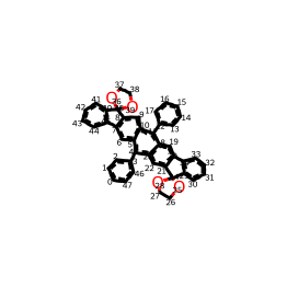 c1ccc(-c2c3cc4c(cc3c(-c3ccccc3)c3cc5c(cc23)C2(OCCO2)c2ccccc2-5)C2(OCCO2)c2ccccc2-4)cc1